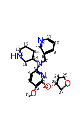 COc1ccc(N(Cc2cccnc2)C2CCCNC2)nc1O[C@@H]1CCOC1